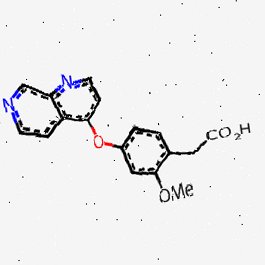 COc1cc(Oc2ccnc3cnccc23)ccc1CC(=O)O